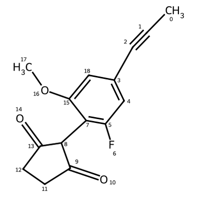 CC#Cc1cc(F)c(C2C(=O)CCC2=O)c(OC)c1